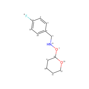 Fc1ccc(CNOC2CCCCO2)cc1